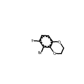 Fc1ccc2c(c1Br)OCCO2